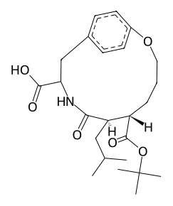 CC(C)C[C@H]1C(=O)NC(C(=O)O)Cc2ccc(cc2)OCCC[C@@H]1C(=O)OC(C)(C)C